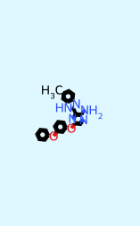 Cc1ccc2nc(-c3nc(Oc4cccc(Oc5ccccc5)c4)cnc3N)[nH]c2c1